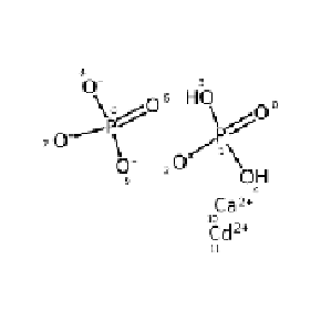 O=P([O-])(O)O.O=P([O-])([O-])[O-].[Ca+2].[Cd+2]